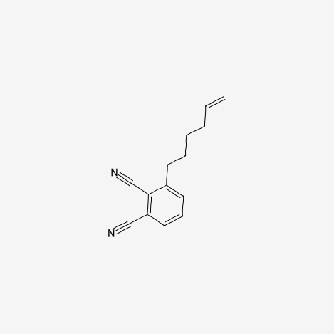 C=CCCCCc1cccc(C#N)c1C#N